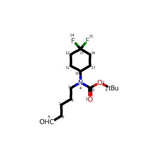 CC(C)(C)OC(=O)N(CCCCC=O)C1CCC(F)(F)CC1